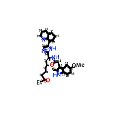 CCC(=O)CCCCC[C@H](NC(=O)Cc1c(C)[nH]c2ccc(OC)cc12)C1=[N+]C=C(c2cccc3cccnc23)N1